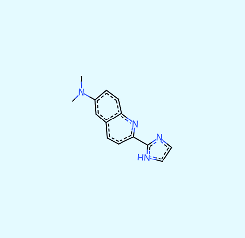 CN(C)c1ccc2nc(-c3ncc[nH]3)ccc2c1